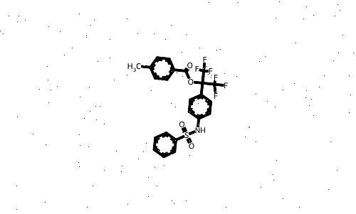 Cc1ccc(C(=O)OC(c2ccc(NS(=O)(=O)c3ccccc3)cc2)(C(F)(F)F)C(F)(F)F)cc1